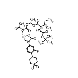 CC[C@H](C)[C@H](NC(=O)OC(C)(C)C)C(=O)OC(C)OC(=O)N(C[C@H]1CN(c2ccc(C3CCS(=O)(=O)CC3)c(F)c2)C(=O)O1)C(C)=O